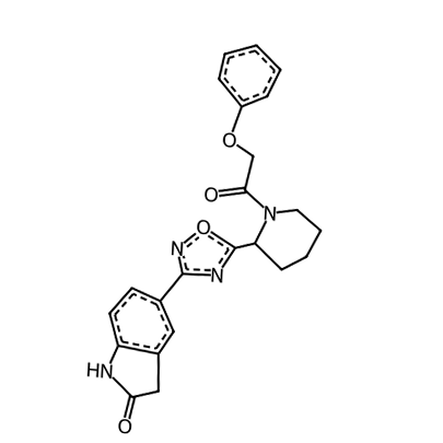 O=C1Cc2cc(-c3noc(C4CCCCN4C(=O)COc4ccccc4)n3)ccc2N1